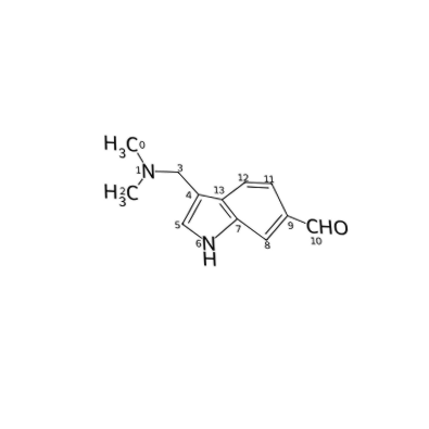 CN(C)Cc1c[nH]c2cc(C=O)ccc12